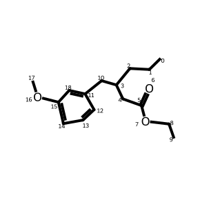 CCCC(CC(=O)OCC)Cc1cccc(OC)c1